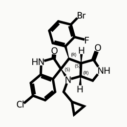 O=C1NC[C@H]2[C@@H]1[C@H](c1cccc(Br)c1F)[C@]1(C(=O)Nc3cc(Cl)ccc31)N2CC1CC1